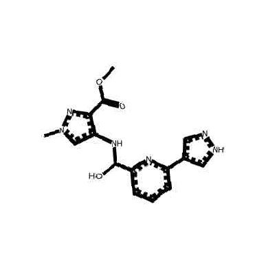 COC(=O)c1nn(C)cc1NC(O)c1cccc(-c2cn[nH]c2)n1